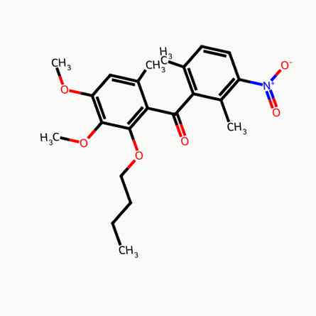 CCCCOc1c(OC)c(OC)cc(C)c1C(=O)c1c(C)ccc([N+](=O)[O-])c1C